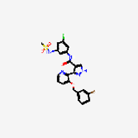 CS(=O)(=O)Nc1cc(Cl)cc(NC(=O)c2c[nH]nc2-c2ncccc2OCc2cccc(Br)c2)c1